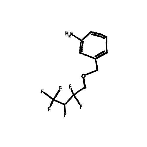 Nc1cccc(COCC(F)(F)C(F)C(F)(F)F)c1